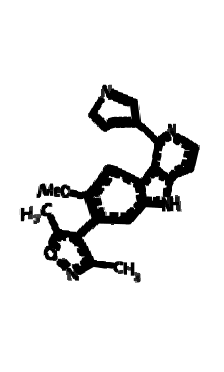 COc1cc2c(cc1-c1c(C)noc1C)[nH]c1ccnc(C3=CCN=C3)c12